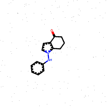 O=C1CCCc2c1ccn2Nc1ccccc1